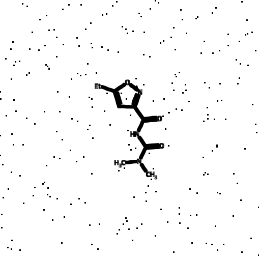 CCc1cc(C(=O)NC(=O)N(C)C)no1